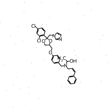 CC(O)N(C/C=C\c1ccccc1)Cc1ccc(OCC2COC(Cn3ccnc3)(c3ccc(Cl)cc3Cl)O2)cc1